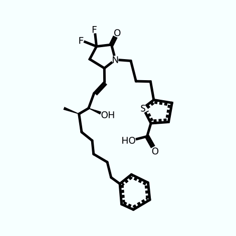 C[C@H](CCCCCc1ccccc1)[C@H](O)C=CC1CC(F)(F)C(=O)N1CCCc1ccc(C(=O)O)s1